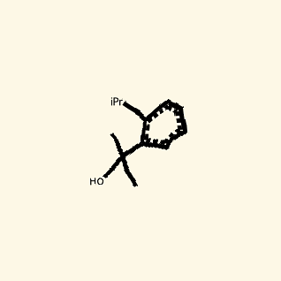 CC(C)c1ccccc1C(C)(C)O